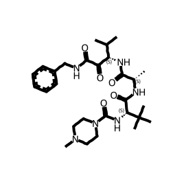 CC(C)[C@H](NC(=O)[C@H](C)NC(=O)[C@@H](NC(=O)N1CCN(C)CC1)C(C)(C)C)C(=O)C(=O)NCc1ccccc1